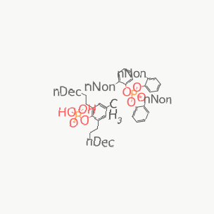 CCCCCCCCCCCCc1cc(C)cc(CCCCCCCCCCCC)c1OP(=O)(O)O.CCCCCCCCCc1ccccc1OP(=O)(Oc1ccccc1CCCCCCCCC)Oc1ccccc1CCCCCCCCC